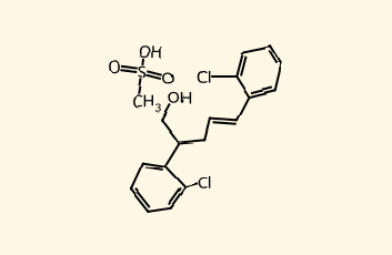 CS(=O)(=O)O.OCC(CC=Cc1ccccc1Cl)c1ccccc1Cl